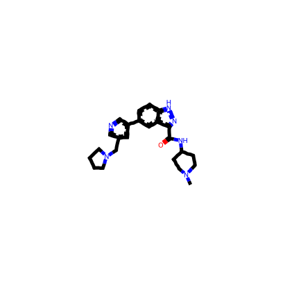 CN1CCC(NC(=O)c2n[nH]c3ccc(-c4cncc(CN5CCCC5)c4)cc23)CC1